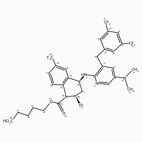 CC[C@@H]1C[C@H](Nc2ncc(N(C)C)cc2Cc2cc(C(F)(F)F)cc(C(F)(F)F)c2)c2cc(C(F)(F)F)ccc2N1C(=O)OCCCCC(=O)O